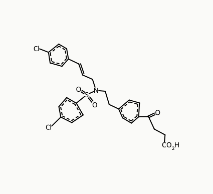 O=C(O)CCC(=O)c1ccc(CCN(CC=Cc2ccc(Cl)cc2)S(=O)(=O)c2ccc(Cl)cc2)cc1